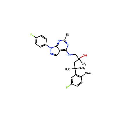 CCc1nc(NCC(O)(CC(C)(C)c2cc(F)ccc2OC)C(F)(F)F)c2cnn(-c3ccc(F)cc3)c2n1